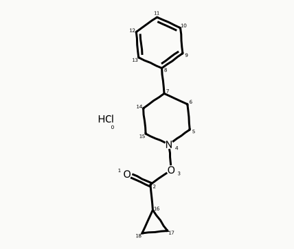 Cl.O=C(ON1CCC(c2ccccc2)CC1)C1CC1